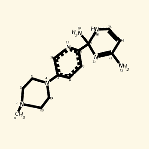 CN1CCN(c2ccc(C3(N)N=C(N)C=CN3)nc2)CC1